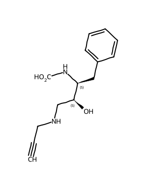 C#CCNC[C@H](O)[C@H](Cc1ccccc1)NC(=O)O